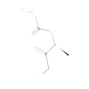 C[C@H](NC(=O)OC(C)(C)C)C(=O)CS(=O)(=O)O